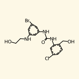 O=C(Nc1cc(Br)cc(NCCO)c1)Nc1cc(Cl)ccc1CO